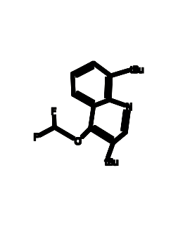 CC(C)(C)c1cnc2c(C(C)(C)C)cccc2c1OC(F)F